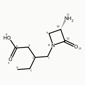 CCC(CC(=O)O)CN1C[C@H](N)C1=O